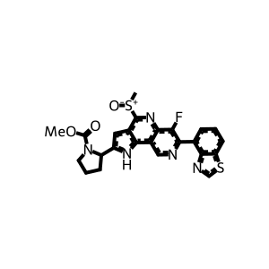 COC(=O)N1CCCC1c1cc2c([S+](C)[O-])nc3c(F)c(-c4cccc5scnc45)ncc3c2[nH]1